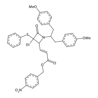 CCC1(Sc2ccccc2)C(=O)N(C(Cc2ccc(OC)cc2)Cc2ccc(OC)cc2)C1C=CC(=O)OCc1ccc([N+](=O)[O-])cc1